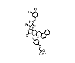 COC(=O)COc1ccc(C[C@H]2C(=O)N(Cc3cccc4ccccc34)C[C@H]3N2C(=O)CN3N(C(=O)NCc2ccc(Cl)c(Cl)c2)C(C)C)cc1